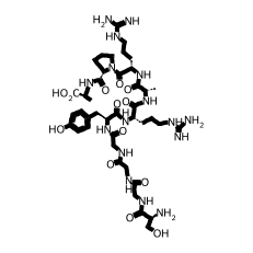 C[C@H](NC(=O)[C@@H]1CCCN1C(=O)[C@H](CCCNC(=N)N)NC(=O)[C@H](C)NC(=O)[C@H](CCCNC(=N)N)NC(=O)[C@H](Cc1ccc(O)cc1)NC(=O)CNC(=O)CNC(=O)CNC(=O)[C@@H](N)CO)C(=O)O